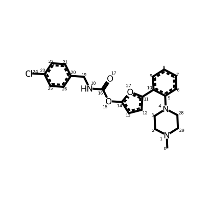 CN1CCN(c2ccccc2-c2ccc(OC(=O)NCc3ccc(Cl)cc3)o2)CC1